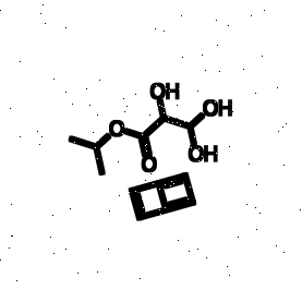 CC(C)OC(=O)C(O)C(O)O.c1cc2ccc1-2